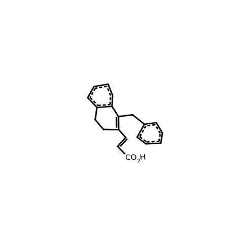 O=C(O)/C=C/C1=C(Cc2ccccc2)c2ccccc2CC1